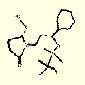 CC(C)(C)[Si](C)(C)O[C@H](CCN1C(=O)CC[C@@H]1CO)C1CCCCC1